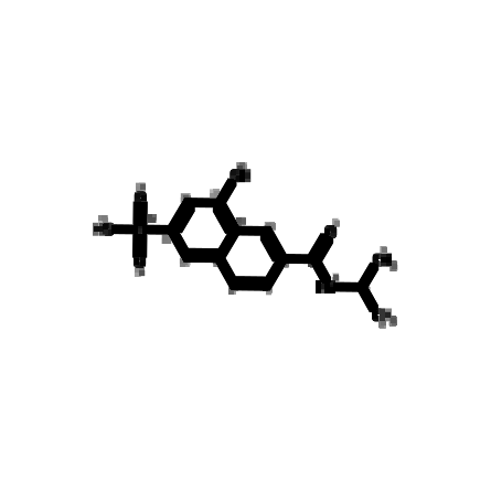 CC(C)NC(=O)c1ccc2cc(S(=O)(=O)O)cc(O)c2c1